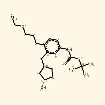 CCOCCCc1ccc(NC(=O)OC(C)(C)C)nc1CN1CC[C@H](O)C1